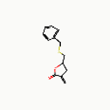 C=C1CC(CSCc2ccccc2)OC1=O